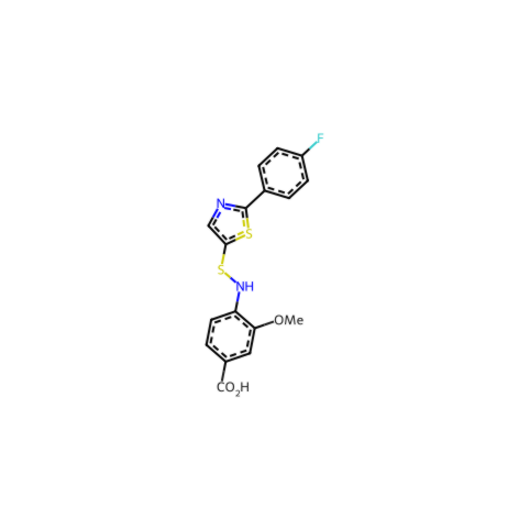 COc1cc(C(=O)O)ccc1NSc1cnc(-c2ccc(F)cc2)s1